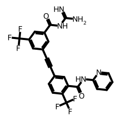 N=C(N)NC(=O)c1cc(C#Cc2ccc(C(F)(F)F)c(C(=O)Nc3ccccn3)c2)cc(C(F)(F)F)c1